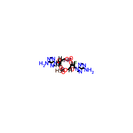 Nc1ncnc2c1ncn2[C@@H]1O[C@@H]2CO[P@@](=O)(S)O[C@@H]3[C@@H](F)[C@@H](CO[PH](=O)O[C@H]2[C@H]1F)O[C@H]3n1cnc2c(N)ncnc21